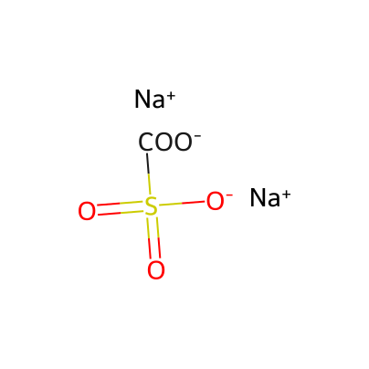 O=C([O-])S(=O)(=O)[O-].[Na+].[Na+]